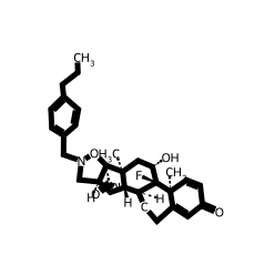 CCCc1ccc(CN2C[C@@H]3C[C@H]4[C@@H]5CCC6=CC(=O)C=C[C@]6(C)[C@@]5(F)[C@@H](O)C[C@]4(C)[C@]3(C(=O)O)O2)cc1